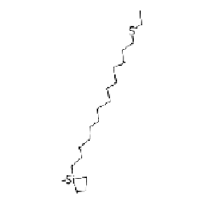 CCSCCCCCCCCCCCCCC[Si]1(C)CCC1